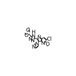 COC[C@@H](OC)c1nnc(-c2c(-n3ccnc3)c3nc(OC)c(Cl)cc3n2C)[nH]1